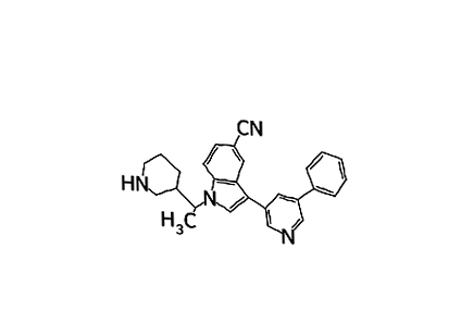 CC(C1CCCNC1)n1cc(-c2cncc(-c3ccccc3)c2)c2cc(C#N)ccc21